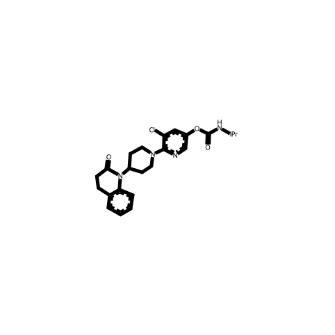 CC(C)NC(=O)Oc1cnc(N2CCC(N3C(=O)CCc4ccccc43)CC2)c(Cl)c1